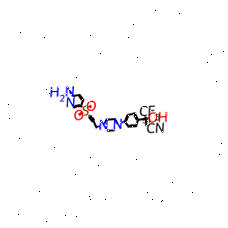 N#CC[C@@](O)(c1ccc(N2CCN(CC#CS(=O)(=O)c3ccc(N)nc3)CC2)cc1)C(F)(F)F